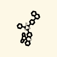 c1ccc(C2=NC(c3ccc4c(c3)C3(c5ccccc5O4)c4ccccc4-c4ccccc43)=NC(c3ccc(-c4cccc5ccccc45)cc3)N2)cc1